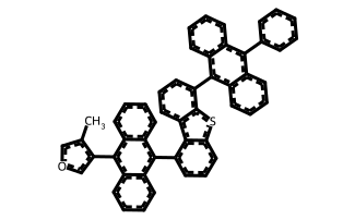 Cc1cocc1-c1c2ccccc2c(-c2cccc3sc4c(-c5c6ccccc6c(-c6ccccc6)c6ccccc56)cccc4c23)c2ccccc12